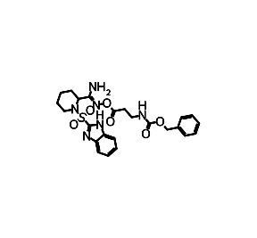 NC(=NOC(=O)CCNC(=O)OCc1ccccc1)C1CCCCN1S(=O)(=O)c1nc2ccccc2[nH]1